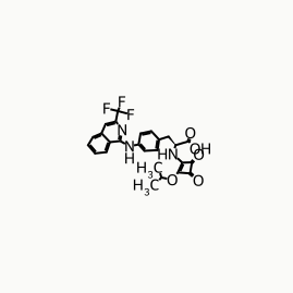 CC(C)Oc1c(N[C@@H](Cc2ccc(Nc3nc(C(F)(F)F)cc4ccccc34)cc2)C(=O)O)c(=O)c1=O